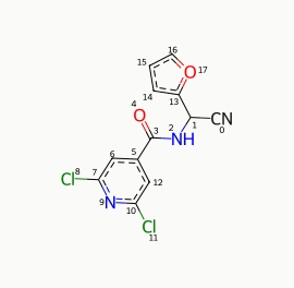 N#CC(NC(=O)c1cc(Cl)nc(Cl)c1)c1ccco1